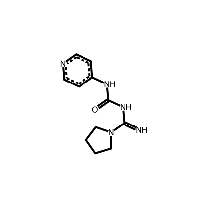 N=C(NC(=O)Nc1ccncc1)N1CCCC1